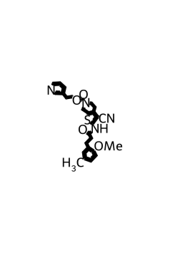 COc1ccc(C)cc1CCC(=O)Nc1sc2c(c1C#N)CCN(C(=O)OCCc1cccnc1)C2